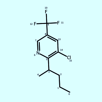 CCCC(C)c1ncc(C(F)(F)F)cc1Cl